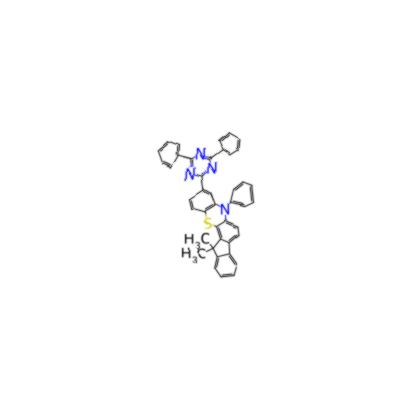 CC1(C)c2ccccc2-c2ccc3c(c21)Sc1ccc(-c2nc(-c4ccccc4)nc(-c4ccccc4)n2)cc1N3c1ccccc1